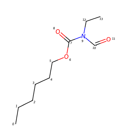 CCCCCCOC(=O)N([C]=O)CC